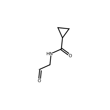 O=[C]CNC(=O)C1CC1